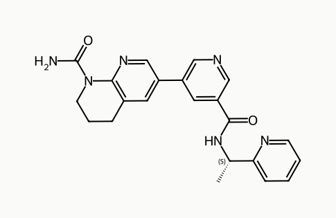 C[C@H](NC(=O)c1cncc(-c2cnc3c(c2)CCCN3C(N)=O)c1)c1ccccn1